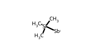 C[Si](C)(C)[Sb]